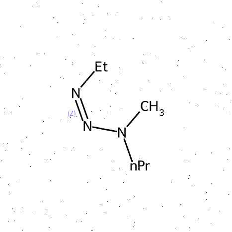 CCCN(C)/N=N\CC